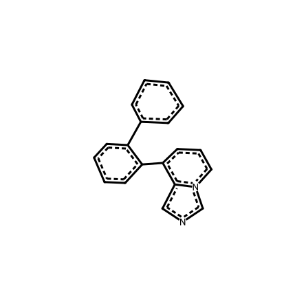 c1ccc(-c2ccccc2-c2cccn3cncc23)cc1